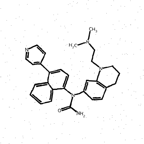 CN(C)CCN1CCCc2ccc(N(C(N)=O)c3ccc(-c4ccncc4)c4ccccc34)cc21